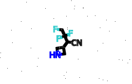 N#CC(C1CNC1)C(F)(F)CF